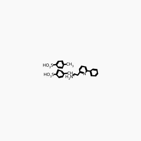 Cc1ccc(S(=O)(=O)O)cc1.Cc1ccc(S(=O)(=O)O)cc1.NCCc1cccc(-c2ccccc2)n1